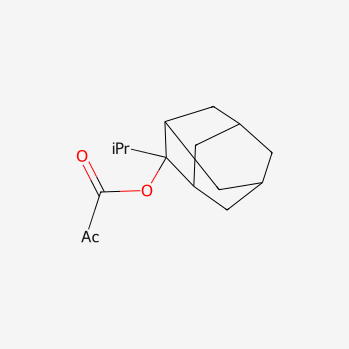 CC(=O)C(=O)OC1(C(C)C)C2CC3CC(C2)CC1C3